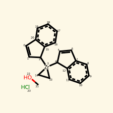 C1=C[CH]([Zr]2([CH]3C=Cc4ccccc43)[CH2][CH2]2)c2ccccc21.CO.Cl